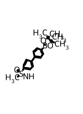 CC1(C)OB(c2ccc(-c3ccc(S(C)(=N)=O)cc3)cc2)OC1(C)C